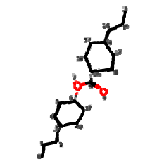 CCC[C@H]1CC[C@H](OC(=O)[C@H]2CC[C@H](CCC)CC2)CC1